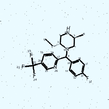 CC[C@@H]1CN[C@@H](C)CN1C(c1ccc(F)cc1)c1ccc(C(F)(F)F)cn1